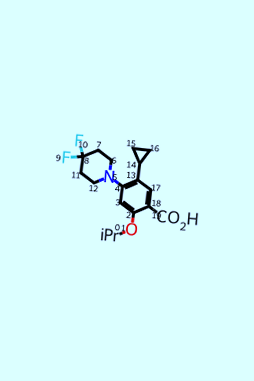 CC(C)Oc1cc(N2CCC(F)(F)CC2)c(C2CC2)cc1C(=O)O